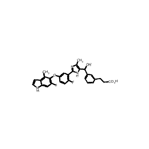 Cc1nc(-c2cc(Oc3c(F)cc4[nH]ccc4c3C)ccc2F)[nH]c1C(O)c1cccc(CCC(=O)O)c1